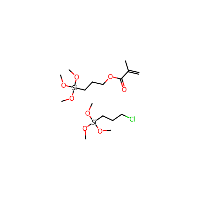 C=C(C)C(=O)OCCC[Si](OC)(OC)OC.CO[Si](CCCCl)(OC)OC